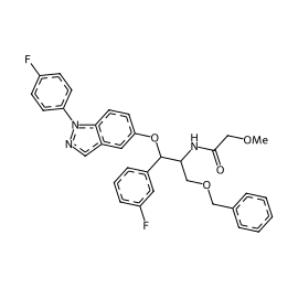 COCC(=O)NC(COCc1ccccc1)C(Oc1ccc2c(cnn2-c2ccc(F)cc2)c1)c1cccc(F)c1